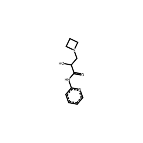 O=C(Nc1ccccn1)C(O)CN1CCC1